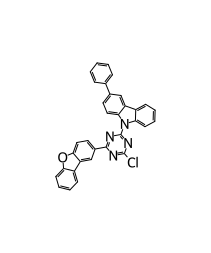 Clc1nc(-c2ccc3oc4ccccc4c3c2)nc(-n2c3ccccc3c3cc(-c4ccccc4)ccc32)n1